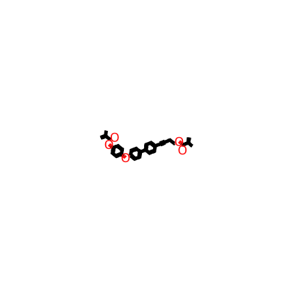 C=C(C)C(=O)OCCC#Cc1ccc(-c2ccc(Oc3ccc(OC(=O)C(=C)C)cc3)cc2)cc1